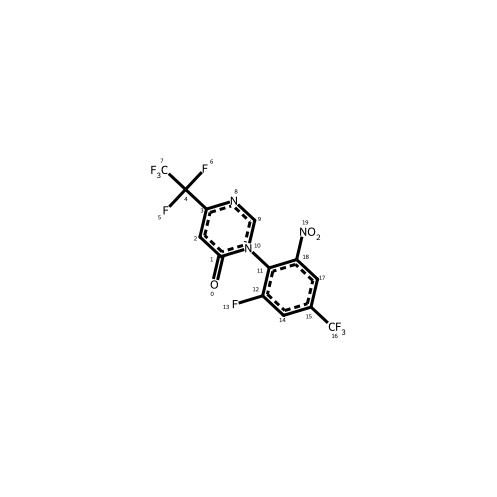 O=c1cc(C(F)(F)C(F)(F)F)ncn1-c1c(F)cc(C(F)(F)F)cc1[N+](=O)[O-]